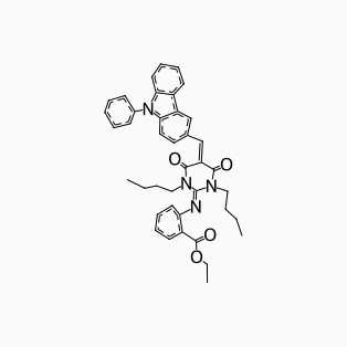 CCCCN1C(=O)C(=Cc2ccc3c(c2)c2ccccc2n3-c2ccccc2)C(=O)N(CCCC)C1=Nc1ccccc1C(=O)OCC